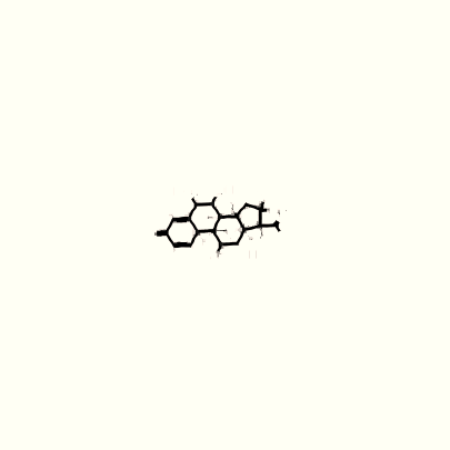 CC(=O)[C@@]1(O)C(C)(O)C[C@H]2[C@@H]3C(O)C(O)C4=CC(=O)C=C[C@]4(C)[C@@]3(F)C(O)C[C@@]21C